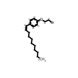 CCCCCCCCC/C=C\c1ccc(OCCBr)cc1